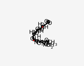 CCN(CCO)C(=O)C1=Cc2ccc(C(=O)Nc3cnc4c(c3)CN(C(=O)OCc3ccc(NC(=O)CNC(=O)CNC(=O)CNC(=O)CCCCCN5C(=O)C=CC5=O)cc3)CC4)cc2N=C(N)C1